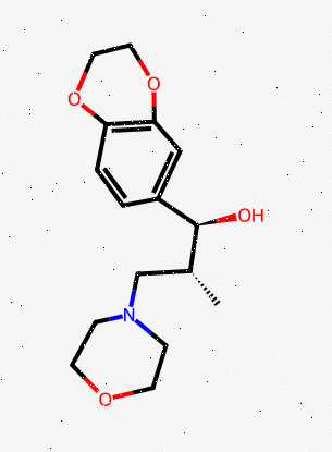 C[C@H](CN1CCOCC1)[C@H](O)c1ccc2c(c1)OCCO2